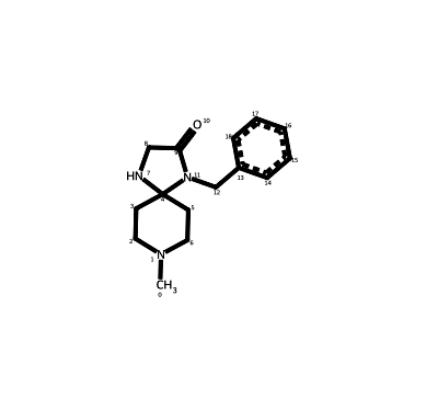 CN1CCC2(CC1)NCC(=O)N2Cc1ccccc1